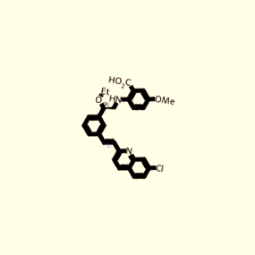 CCO[C@@H](CNc1ccc(OC)cc1C(=O)O)c1cccc(/C=C/c2ccc3ccc(Cl)cc3n2)c1